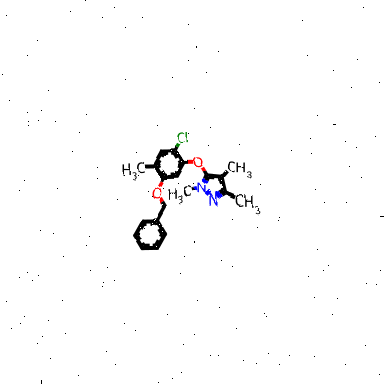 Cc1cc(Cl)c(Oc2c(C)c(C)nn2C)cc1OCc1ccccc1